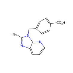 CCCCc1nc2cccnc2n1Cc1ccc(C(=O)O)cc1